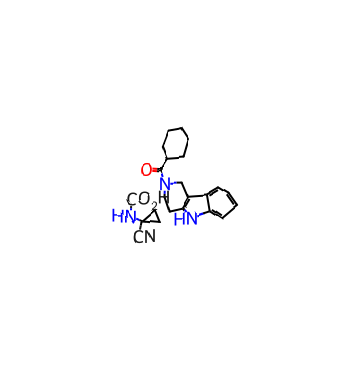 N#CC1(NC(=O)O)CC1.O=C(C1CCCCC1)N1CCc2[nH]c3ccccc3c2C1